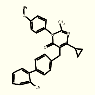 Cc1nc(C2CC2)c(Cc2ccc(-c3ccccc3C#N)cc2)c(=O)n1-c1ccc(OC(C)C)cc1